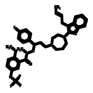 C/C=C/Cn1c(N2CCCN(CCC(CN(C)C(=O)c3cc(OC(F)(F)F)ccc3OC)c3ccc(F)cc3)CC2)nc2ccccc21